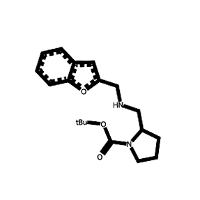 CC(C)(C)OC(=O)N1CCCC1CNCc1cc2ccccc2o1